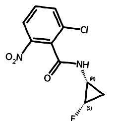 O=C(N[C@@H]1C[C@@H]1F)c1c(Cl)cccc1[N+](=O)[O-]